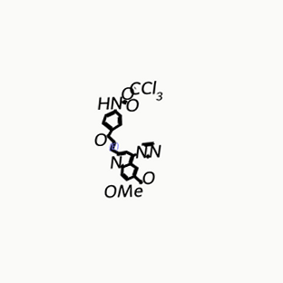 COC(=O)c1ccc2nc(/C=C/C(=O)c3ccc(NC(=O)OC(Cl)(Cl)Cl)cc3)cc(-n3ccnc3)c2c1